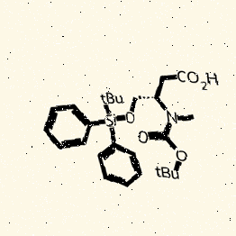 CN(C(=O)OC(C)(C)C)[C@H](CO[Si](c1ccccc1)(c1ccccc1)C(C)(C)C)CC(=O)O